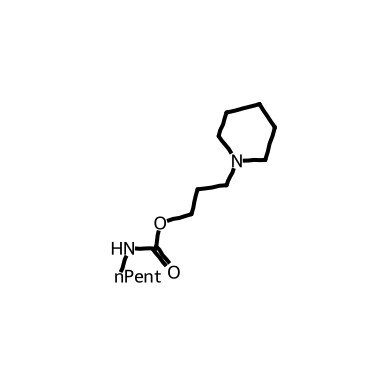 CCCCCNC(=O)OCCCN1CCCCC1